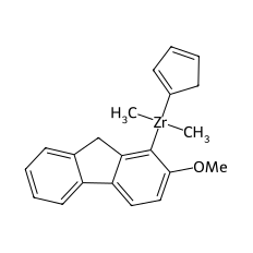 COc1ccc2c([c]1[Zr]([CH3])([CH3])[C]1=CC=CC1)Cc1ccccc1-2